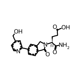 NC(=O)[C@H](CCC(=O)O)N1Cc2cc(-c3cc(CO)ccn3)ccc2C1=O